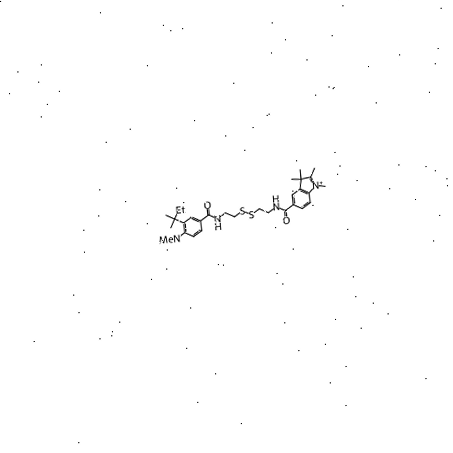 CCC(C)(C)c1cc(C(=O)NCCSSCCNC(=O)c2ccc3c(c2)C(C)(C)C(C)=[N+]3C)ccc1NC